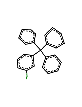 Fc1cccc(C(c2ccccc2)(c2ccccc2)c2ccccc2)c1